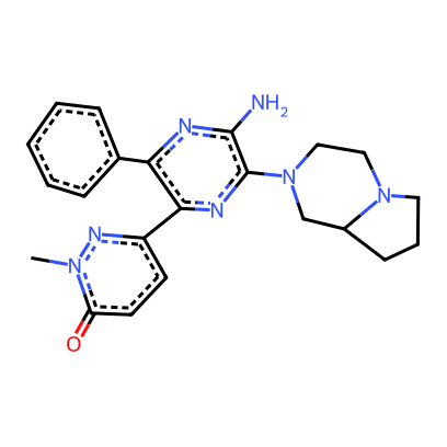 Cn1nc(-c2nc(N3CCN4CCCC4C3)c(N)nc2-c2ccccc2)ccc1=O